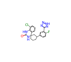 O=C1Nc2c(Cl)cccc2C2(CCCC(c3ccc(F)c(-c4nn[nH]n4)c3)C2)N1